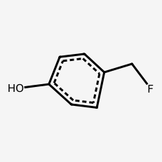 Oc1ccc(CF)cc1